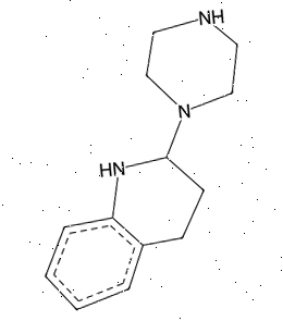 c1ccc2c(c1)CCC(N1CCNCC1)N2